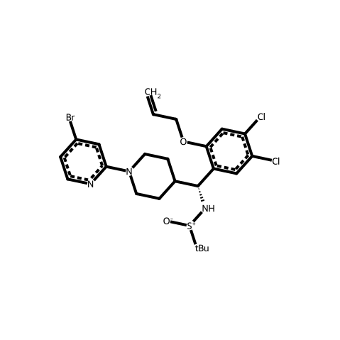 C=CCOc1cc(Cl)c(Cl)cc1[C@H](N[S+]([O-])C(C)(C)C)C1CCN(c2cc(Br)ccn2)CC1